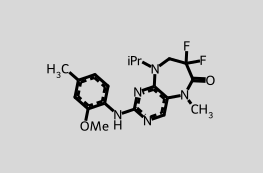 COc1cc(C)ccc1Nc1ncc2c(n1)N(C(C)C)CC(F)(F)C(=O)N2C